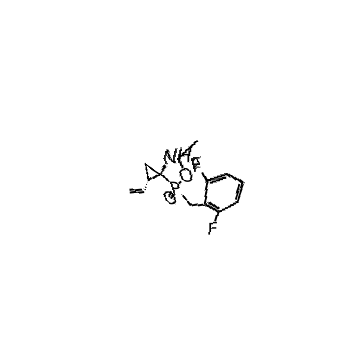 C=C[C@@H]1C[C@]1(N)P(=O)(Cc1c(F)cccc1F)OCC